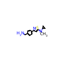 CN(c1cc(-c2ccc(CN)cc2)ns1)C1CC1